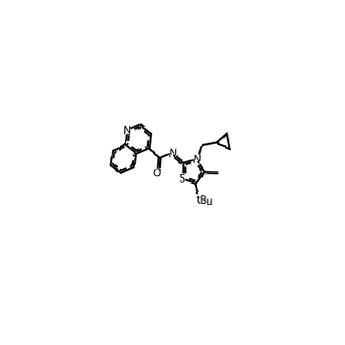 Cc1c(C(C)(C)C)s/c(=N\C(=O)c2ccnc3ccccc23)n1CC1CC1